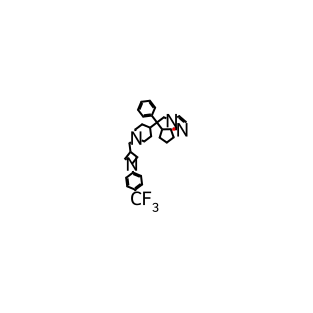 FC(F)(F)c1ccc(N2CC(CN3CCC(C(Cn4ccnc4)(c4ccccc4)C4CCCC4)CC3)C2)cc1